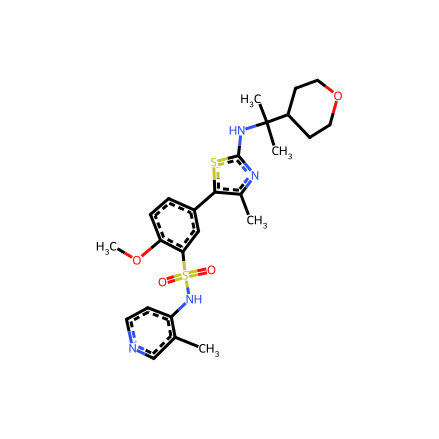 COc1ccc(-c2sc(NC(C)(C)C3CCOCC3)nc2C)cc1S(=O)(=O)Nc1ccncc1C